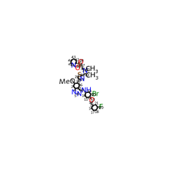 COc1cc2ncnc(Nc3ccc(OCc4cccc(F)c4)c(Br)c3)c2cc1-c1csc(C(C)N(C)CCS(=O)(=O)c2ccccn2)n1